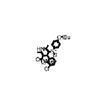 CCC(C)Oc1ccc([S+]([O-])C2=C(C)NC(C)=C(C(=O)OC)C2c2cccc(Cl)c2Cl)cc1